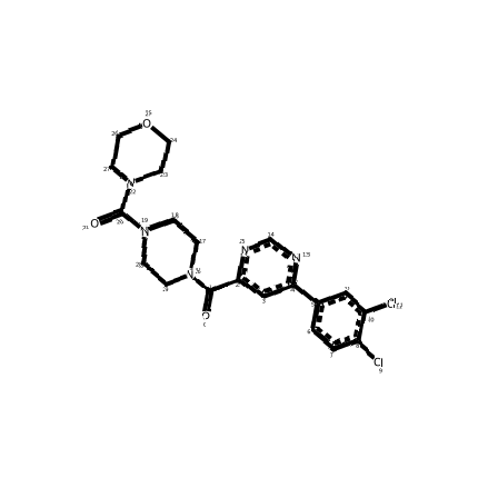 O=C(c1cc(-c2ccc(Cl)c(Cl)c2)ncn1)N1CCN(C(=O)N2CCOCC2)CC1